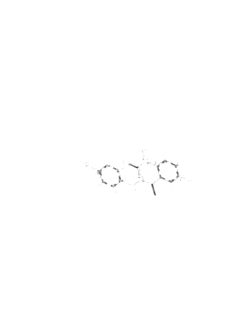 C=C1c2cc(C)ccc2N(C)C(=O)N1Cc1ccc(F)cc1